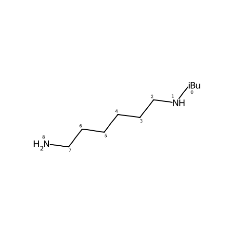 CCC(C)NCCCCCCN